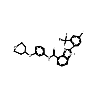 O=C(Nc1cccc(OC2CCNCC2)c1)c1cccc2[nH]c(-c3ccc(F)cc3C(F)(F)F)nc12